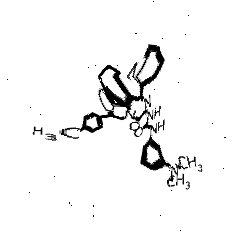 Cc1ccc(C(=O)CN2C(=O)[C@@H](NC(=O)Nc3cccc(N(C)C)c3)N=C(c3ccccn3)c3ccccc32)cc1